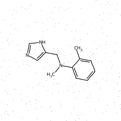 Cc1ccccc1N(C)Cc1cnc[nH]1